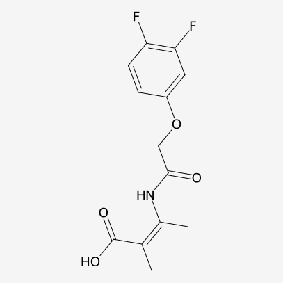 C/C(NC(=O)COc1ccc(F)c(F)c1)=C(\C)C(=O)O